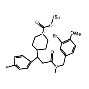 COc1ccc(CN(C)C(=O)CC(c2ccc(F)cc2)C2CCN(C(=O)OC(C)(C)C)CC2)cc1Br